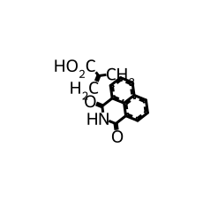 C=C(C)C(=O)O.O=C1NC(=O)c2cccc3cccc1c23